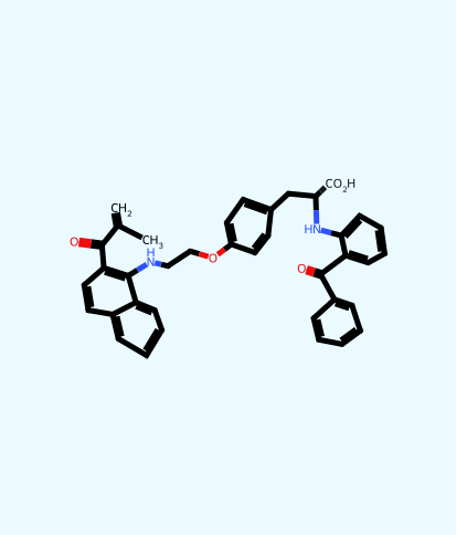 C=C(C)C(=O)c1ccc2ccccc2c1NCCOc1ccc(CC(Nc2ccccc2C(=O)c2ccccc2)C(=O)O)cc1